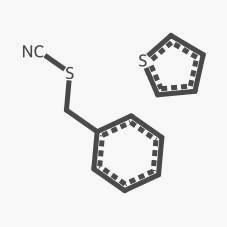 N#CSCc1ccccc1.c1ccsc1